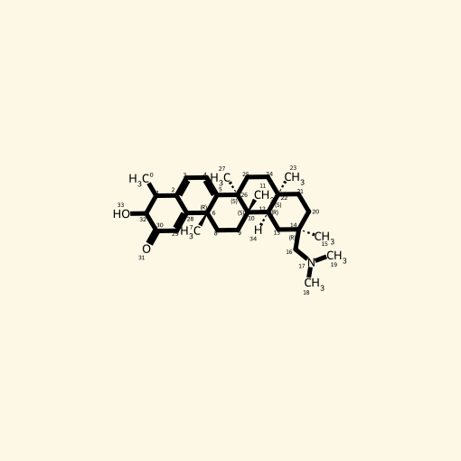 CC1C2=CC=C3[C@](C)(CC[C@@]4(C)[C@@H]5C[C@](C)(CN(C)C)CC[C@]5(C)CC[C@]34C)C2=CC(=O)C1O